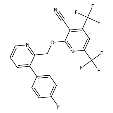 N#Cc1c(C(F)(F)F)cc(C(F)(F)F)nc1OCc1ncccc1-c1ccc(F)cc1